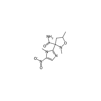 CC1CC(C(N)=O)(c2ncc([N+](=O)[O-])n2C)N(C)O1